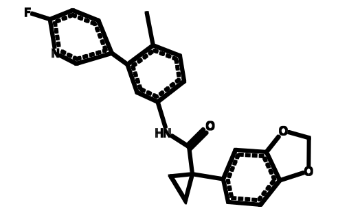 Cc1ccc(NC(=O)C2(c3ccc4c(c3)OCO4)CC2)cc1-c1ccc(F)nc1